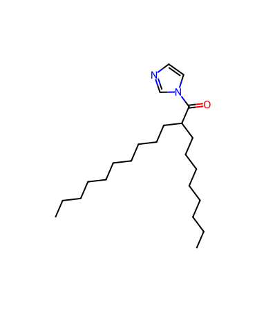 CCCCCCCCCCC(CCCCCCCC)C(=O)n1ccnc1